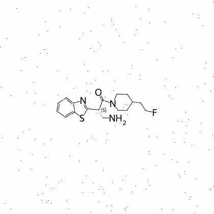 NC[C@@H](C(=O)N1CCC(CCF)CC1)c1nc2ccccc2s1